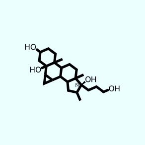 CC1CC2C3C4CC4C4(O)CC(O)CCC4(C)C3CCC2(C)[C@]1(O)CCCO